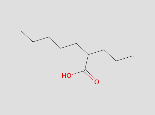 [CH2]CCC(CCCCC)C(=O)O